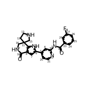 O=C(Nc1cc(-c2cc3c([nH]2)C2(CCNC2)CNC3=O)ccn1)c1cccc(F)c1